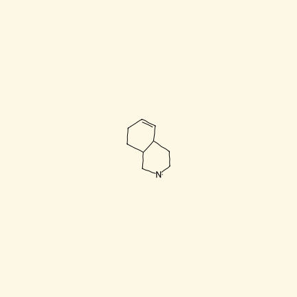 C1=CC2CC[N]CC2CC1